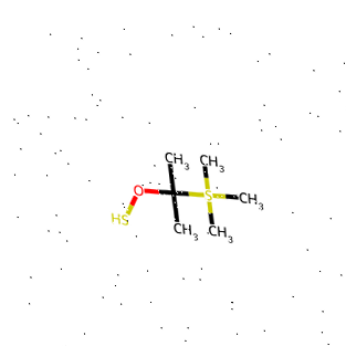 CC(C)(OS)S(C)(C)C